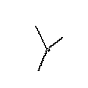 CCCCCCCCCCCCCCCCCN1C=CN(CCCCCCCCCCCCCC)C1CCCCCCCCCCCCCCCC